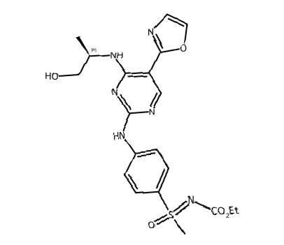 CCOC(=O)N=S(C)(=O)c1ccc(Nc2ncc(-c3ncco3)c(N[C@H](C)CO)n2)cc1